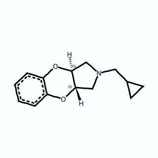 c1ccc2c(c1)O[C@H]1CN(CC3CC3)C[C@@H]1O2